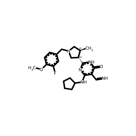 COc1ccc(CN2C[C@@H](C)[C@H](c3nc(NC4CCCC4)c(C=N)c(=O)[nH]3)C2)cc1F